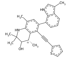 Cc1cc(-c2cccc3c(C)c[nH]c23)c(C#Cc2cccs2)c2c1NC(C)(C)C(O)[C@H]2C